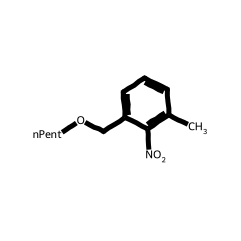 CCCCCOCc1cccc(C)c1[N+](=O)[O-]